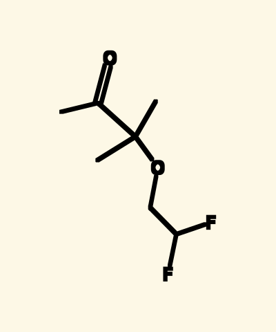 CC(=O)C(C)(C)OCC(F)F